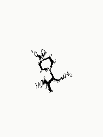 CC(O)C(N)N1CCS(=O)(=O)CC1